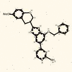 COc1ccc2c(c1)CC(c1nc3c(OCc4ccccn4)cc(-c4ccnc(N)n4)cc3s1)CO2